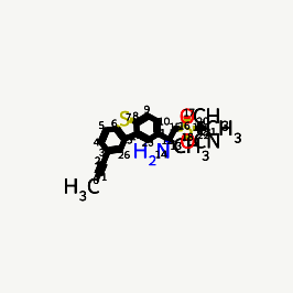 CC#Cc1ccc2sc3ccc([C@@](C)(N)CS(=O)(=O)C(C)(C)C#N)cc3c2c1